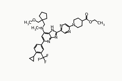 CCOC(=O)C1CCN(c2cnc(-c3nc4nc(-c5ccc(C6CC6)c(C(F)(F)F)c5)cc(N(C)CC5(COC)CCCC5)c4[nH]3)cn2)CC1